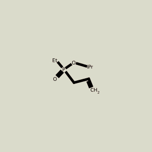 C=CCP(=O)(CC)OC(C)C